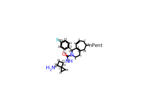 CCCCCC1CC=CC2=C(CCN(C(=O)N[C@H]3C[C@@H](N)C34CC4)[C@H]2c2ccc(F)cc2)C1